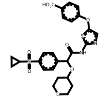 O=C(O)c1ccc(Oc2cnc(NC(=O)C(OC3CCOCC3)c3ccc(S(=O)(=O)C4CC4)cc3)s2)cc1